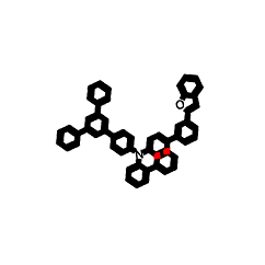 c1ccc(-c2cc(-c3ccccc3)cc(-c3ccc(N(c4ccc(-c5cccc(-c6cc7ccccc7o6)c5)cc4)c4ccccc4-c4ccccc4)cc3)c2)cc1